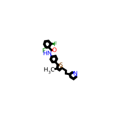 Cc1cc(CCc2cccnc2)sc1-c1ccc(NC(=O)c2c(F)cccc2F)cc1